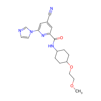 COCCOC1CCC(NC(=O)c2cc(C#N)cc(-n3ccnc3)n2)CC1